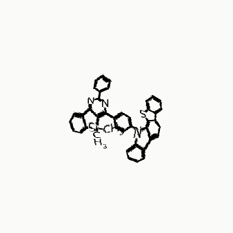 C[Si]1(C)c2ccccc2-c2nc(-c3ccccc3)nc(-c3ccc(-n4c5ccccc5c5ccc6c7ccccc7sc6c54)cc3)c21